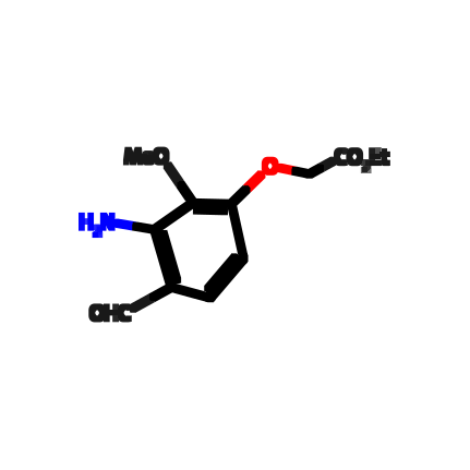 CCOC(=O)COc1ccc(C=O)c(N)c1OC